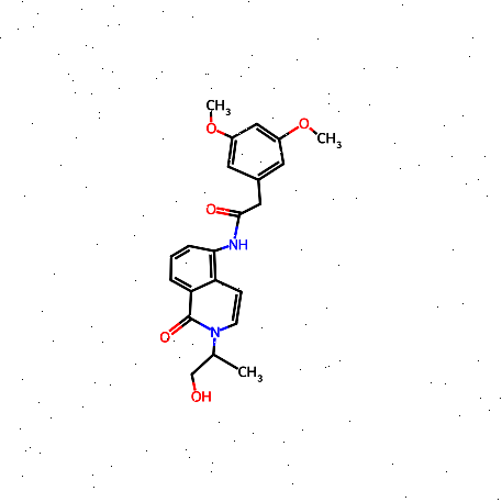 COc1cc(CC(=O)Nc2cccc3c(=O)n(C(C)CO)ccc23)cc(OC)c1